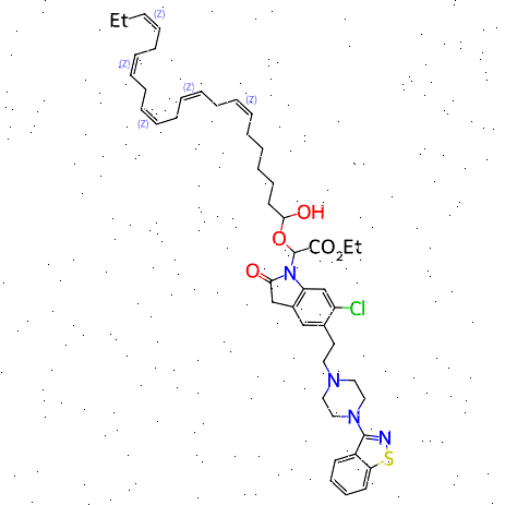 CC/C=C\C/C=C\C/C=C\C/C=C\C/C=C\CCCCCC(O)OC(C(=O)OCC)N1C(=O)Cc2cc(CCN3CCN(c4nsc5ccccc45)CC3)c(Cl)cc21